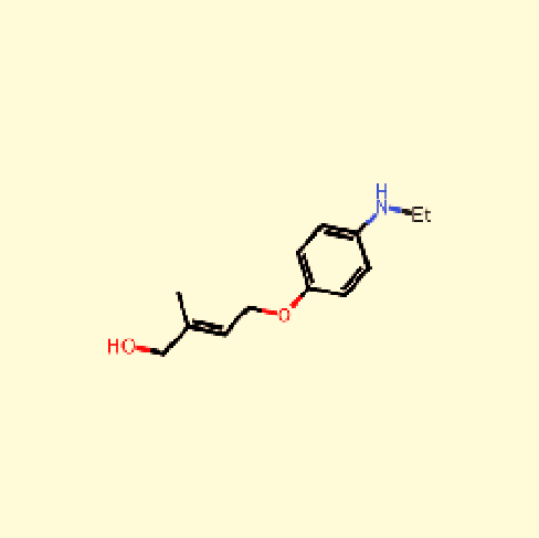 CCNc1ccc(OC/C=C(\C)CO)cc1